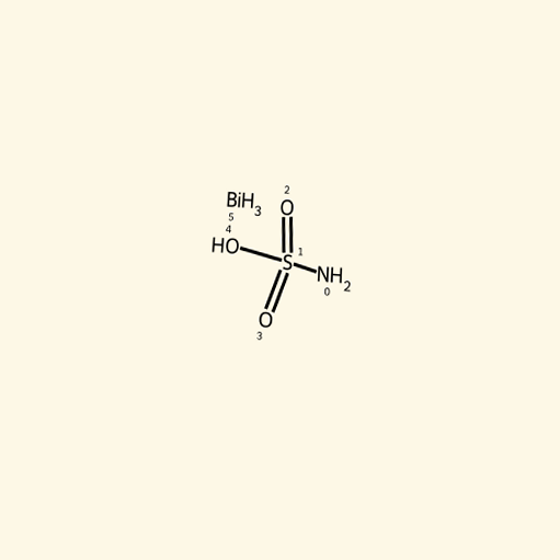 NS(=O)(=O)O.[BiH3]